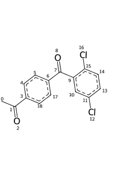 CC(=O)c1ccc(C(=O)c2cc(Cl)ccc2Cl)cc1